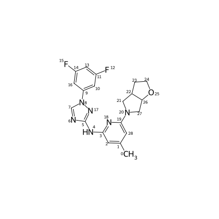 Cc1cc(Nc2ncn(-c3cc(F)cc(F)c3)n2)nc(N2CC3CCOC3C2)c1